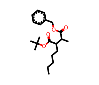 CCCCCC(C(=O)OC(C)(C)C)C(C)C(=O)OCc1ccccc1